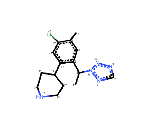 Cc1cc(C(C)n2ncnn2)c(C2CCNCC2)cc1Cl